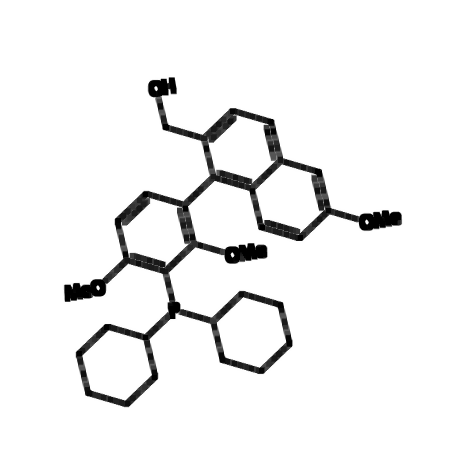 COc1ccc2c(-c3ccc(OC)c(P(C4CCCCC4)C4CCCCC4)c3OC)c(CO)ccc2c1